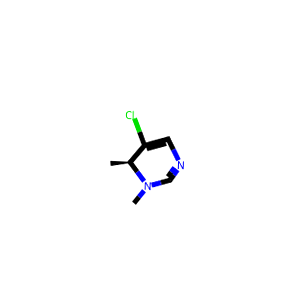 C[C@H]1C(Cl)=CN=CN1C